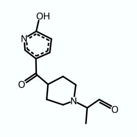 CC(C=O)N1CCC(C(=O)c2ccc(O)nc2)CC1